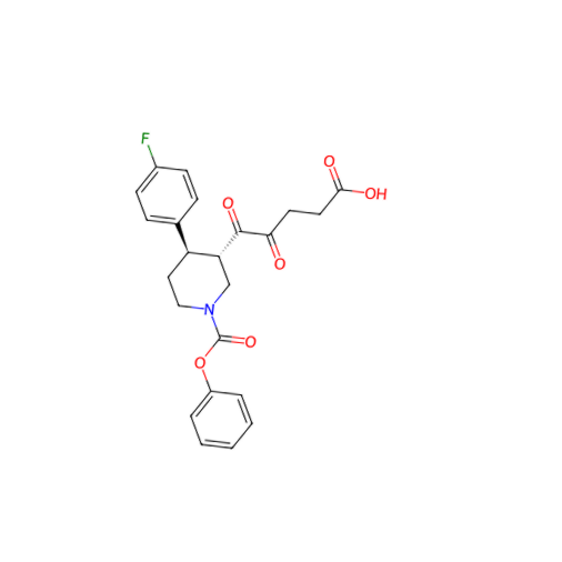 O=C(O)CCC(=O)C(=O)[C@@H]1CN(C(=O)Oc2ccccc2)CC[C@H]1c1ccc(F)cc1